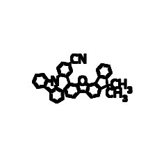 CC1(C)c2ccccc2-c2c1ccc1c2oc2c(-c3cc(C#N)ccc3-n3c4ccccc4c4ccccc43)cccc21